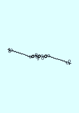 C=C(C)C(=O)OCCCCCCCCCCCCCCCCOc1ccc(C(=O)Oc2ccc(OC(=O)c3ccc(OCCCCCCCCCCCCCCCCOC(=O)C(=C)C)cc3)c(F)c2)cc1